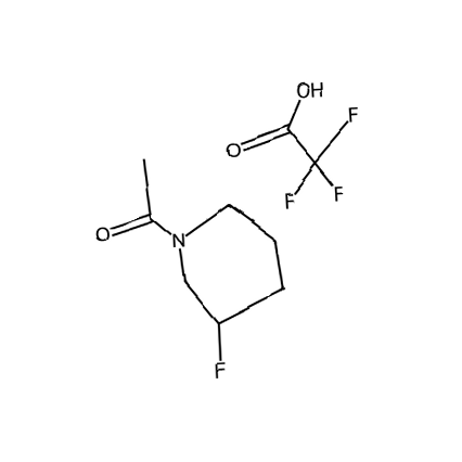 CC(=O)N1CCCC(F)C1.O=C(O)C(F)(F)F